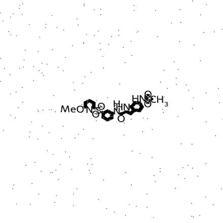 COc1cccc(S(=O)(=O)c2cccc(NC(=O)c3cc4ccc(NS(C)(=O)=O)cc4[nH]3)c2)n1